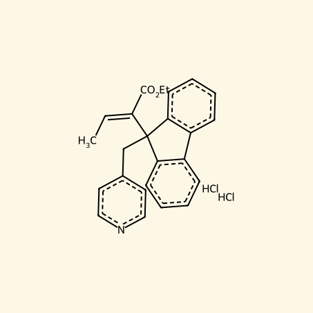 C/C=C(/C(=O)OCC)C1(Cc2ccncc2)c2ccccc2-c2ccccc21.Cl.Cl